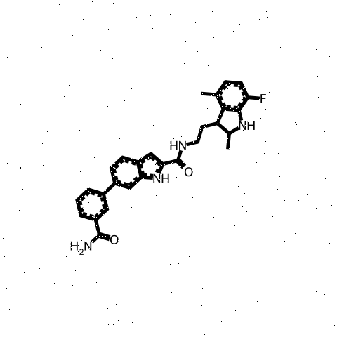 Cc1ccc(F)c2c1C(CCNC(=O)c1cc3ccc(-c4cccc(C(N)=O)c4)cc3[nH]1)C(C)N2